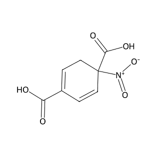 O=C(O)C1=CCC(C(=O)O)([N+](=O)[O-])C=C1